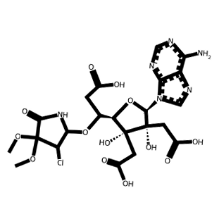 COC1(OC)C(=O)NC(OC(CC(=O)O)[C@H]2O[C@@H](n3cnc4c(N)ncnc43)[C@@](O)(CC(=O)O)[C@@]2(O)CC(=O)O)C1Cl